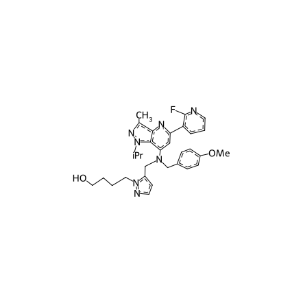 COc1ccc(CN(Cc2ccnn2CCCCO)c2cc(-c3cccnc3F)nc3c(C)nn(C(C)C)c23)cc1